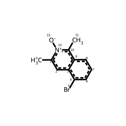 Cc1cc2c(Br)cccc2c(C)[n+]1[O-]